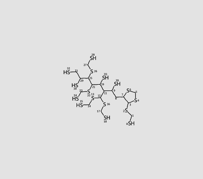 SCSC1SCSC1CC(S)C(C(SCS)SCS)C(S)C(SCS)C(SCS)C(S)CS